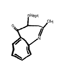 CCCCCCCC1C(=O)c2ccccc2N=C1O